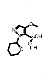 COc1cnn(C2CCCCO2)c1S(=O)O.[LiH]